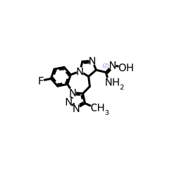 Cc1nnn2c1CC1C(/C(N)=N/O)N=CN1c1ccc(F)cc1-2